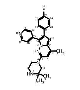 Cc1cc(N2CCNC(C)(C)C2)nn2c(-c3ccncc3)c(-c3ccc(F)cc3)nc12